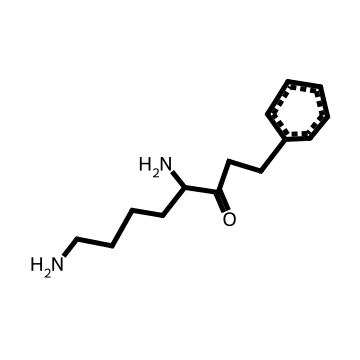 NCCCCC(N)C(=O)CCc1ccccc1